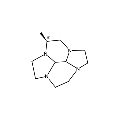 C[C@H]1CN2CCN3CCN4CCN1C4C32